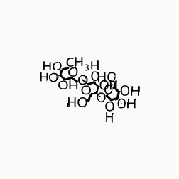 C[C@H]1OC(CO[C@@H]2OC(CO)[C@@H](O[C@H]3OC(CO)[C@@H](O)[C@H](O)C3O)[C@H](O)C2O)[C@@H](O)[C@H](O)C1O